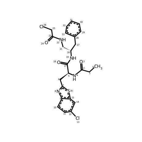 CCC(=O)N[C@@H](Cc1nc2ccc(Cl)cc2s1)C(=O)N[C@H](CNC(=O)CCl)Cc1ccccc1